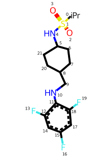 CC(C)S(=O)(=O)NC1CCC(CNc2c(F)cc(F)cc2F)CC1